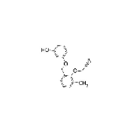 Cc1cccc(COc2cccc(O)c2)c1OCC#N